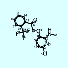 CNc1nc(Cl)ncc1OCC(=O)c1ccccc1C(F)(F)F